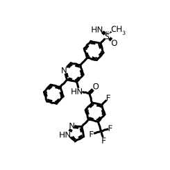 C[S@](=N)(=O)c1ccc(-c2cnc(-c3ccccc3)c(NC(=O)c3cc(-c4cc[nH]n4)c(C(F)(F)F)cc3F)c2)cc1